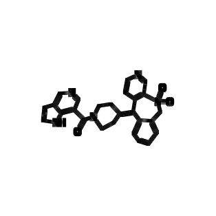 O=C(c1cncc2cc[nH]c12)N1CCC(=C2c3ccccc3CS(=O)(=O)c3cnccc32)CC1